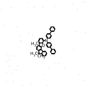 CC1(C)c2ccccc2-c2c1ccc1c2OC2C(N(c3ccc(-c4ccccc4)cc3)c3ccc(-c4ccccc4)cc3)=CC=CC12C